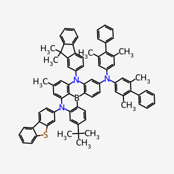 Cc1cc2c3c(c1)N(c1ccc4c(c1)sc1ccccc14)c1cc(C(C)(C)C)ccc1B3c1ccc(N(c3cc(C)c(-c4ccccc4)c(C)c3)c3cc(C)c(-c4ccccc4)c(C)c3)cc1N2c1ccc2c(c1)C(C)(C)c1ccccc1-2